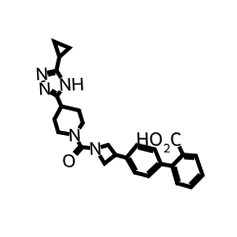 O=C(O)c1ccccc1-c1ccc(C2CN(C(=O)N3CCC(c4nnc(C5CC5)[nH]4)CC3)C2)cc1